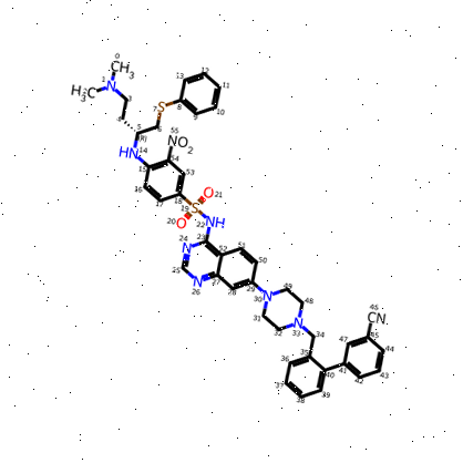 CN(C)CC[C@H](CSc1ccccc1)Nc1ccc(S(=O)(=O)Nc2ncnc3cc(N4CCN(Cc5ccccc5-c5cccc(C#N)c5)CC4)ccc23)cc1[N+](=O)[O-]